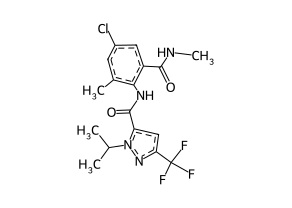 CNC(=O)c1cc(Cl)cc(C)c1NC(=O)c1cc(C(F)(F)F)nn1C(C)C